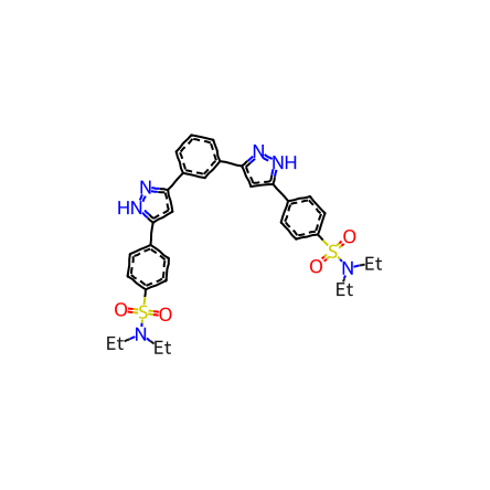 CCN(CC)S(=O)(=O)c1ccc(-c2cc(-c3cccc(-c4cc(-c5ccc(S(=O)(=O)N(CC)CC)cc5)[nH]n4)c3)n[nH]2)cc1